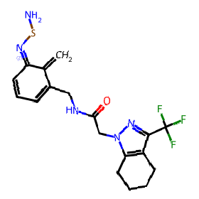 C=C1C(CNC(=O)Cn2nc(C(F)(F)F)c3c2CCCC3)=CC=C/C1=N/SN